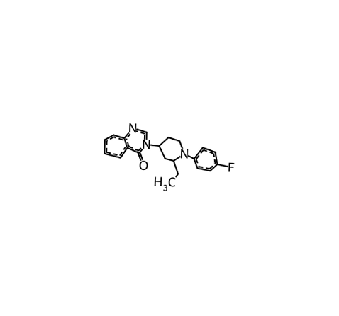 CCC1CC(n2cnc3ccccc3c2=O)CCN1c1ccc(F)cc1